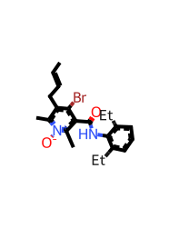 C/C=C/Cc1c(Br)c(C(=O)Nc2c(CC)cccc2CC)c(C)[n+]([O-])c1C